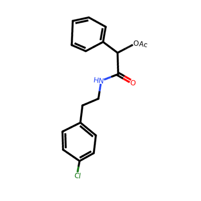 CC(=O)OC(C(=O)NCCc1ccc(Cl)cc1)c1ccccc1